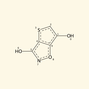 Oc1csc2c(O)noc12